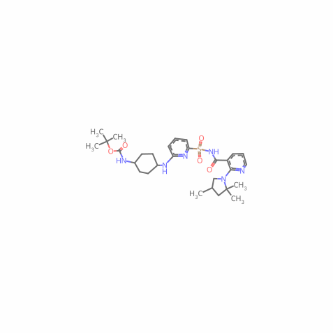 CC1CN(c2ncccc2C(=O)NS(=O)(=O)c2cccc(NC3CCC(NC(=O)OC(C)(C)C)CC3)n2)C(C)(C)C1